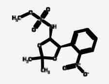 COS(=O)(=O)N[C@@H]1OC(C)(C)O[C@@H]1c1ccccc1[N+](=O)[O-]